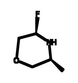 C[C@H]1COC[C@@H](F)N1